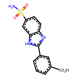 CCOC(=O)c1cccc(-c2nc3ccc(S(N)(=O)=O)cc3[nH]2)c1